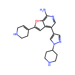 Nc1ncc(-c2cnn(C3CCNCC3)c2)c2cc(C3=CCNCC3)oc12